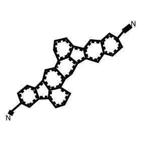 N#Cc1ccc2cc3c(cc2c1)c1cccc2c4cc5c6ccc(C#N)cc6c6cccc(c4cc3c12)c65